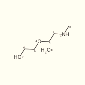 CNCCOCCO.O